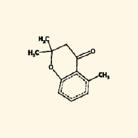 Cc1cccc2c1C(=O)CC(C)(C)O2